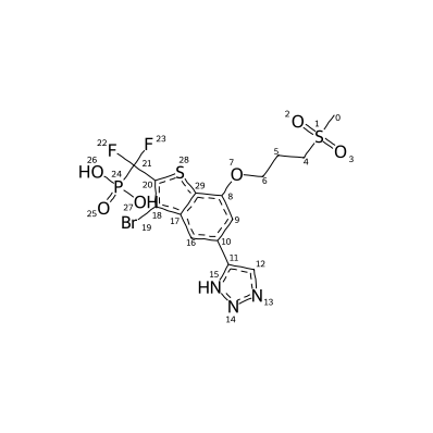 CS(=O)(=O)CCCOc1cc(-c2cnn[nH]2)cc2c(Br)c(C(F)(F)P(=O)(O)O)sc12